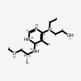 CCN(CCO)C1=C(C)C(N[C@H](C)COC)NC=N1